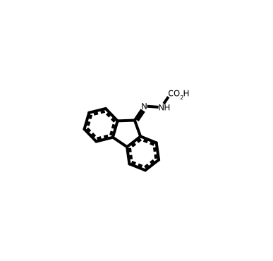 O=C(O)NN=C1c2ccccc2-c2ccccc21